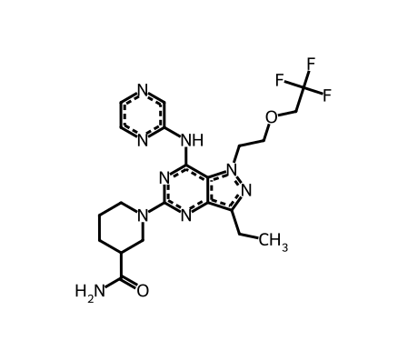 CCc1nn(CCOCC(F)(F)F)c2c(Nc3cnccn3)nc(N3CCCC(C(N)=O)C3)nc12